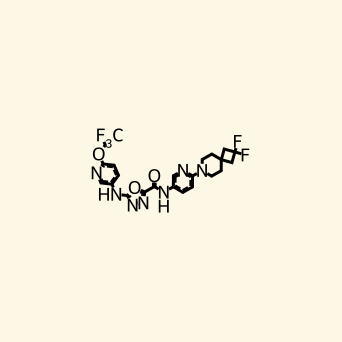 O=C(Nc1ccc(N2CCC3(CC2)CC(F)(F)C3)nc1)c1nnc(Nc2ccc(OCC(F)(F)F)nc2)o1